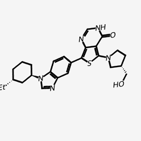 CC[C@@H]1CCC[C@@H](n2cnc3cc(-c4sc(N5CC[C@H](CO)C5)c5c(=O)[nH]cnc45)ccc32)C1